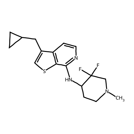 CN1CCC(Nc2nccc3c(CC4CC4)csc23)C(F)(F)C1